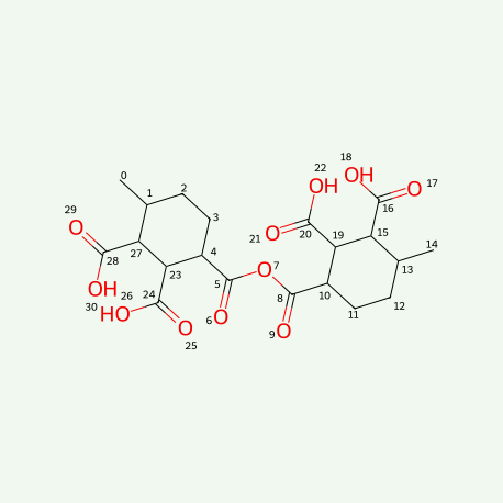 CC1CCC(C(=O)OC(=O)C2CCC(C)C(C(=O)O)C2C(=O)O)C(C(=O)O)C1C(=O)O